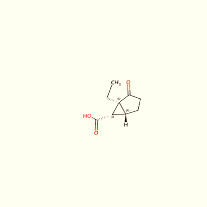 CC[C@]12C(=O)CC[C@@H]1[C@@H]2C(=O)O